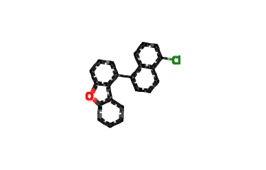 Clc1cccc2c(-c3cccc4oc5ccccc5c34)cccc12